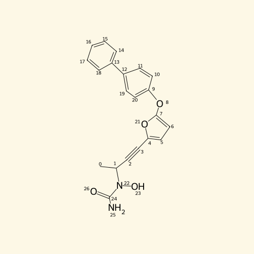 CC(C#Cc1ccc(Oc2ccc(-c3ccccc3)cc2)o1)N(O)C(N)=O